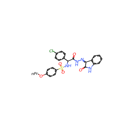 CCCOc1ccc(S(=O)(=O)NC(C(=O)NN=C2C(=O)Nc3ccccc32)c2ccc(Cl)cc2)cc1